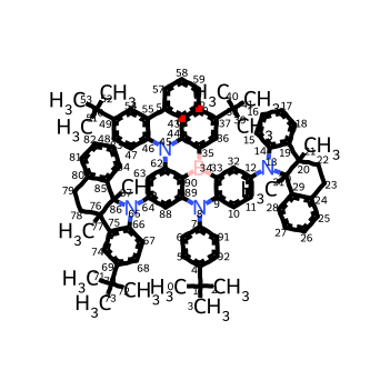 CC(C)(C)c1ccc(N2c3ccc(N4c5ccccc5C5(C)CCc6ccccc6C45C)cc3B3c4cc(C(C)(C)C)ccc4N(c4ccc(C(C)(C)C)cc4-c4ccccc4)c4cc(N5c6ccc(C(C)(C)C)cc6C6(C)CCc7ccccc7C56C)cc2c43)cc1